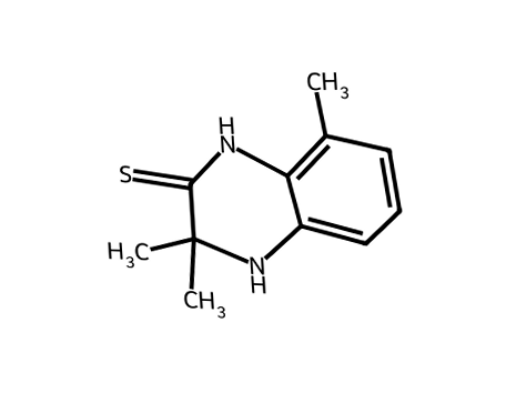 Cc1cccc2c1NC(=S)C(C)(C)N2